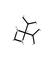 CC(C)C1(C(C)C)S[C]S1